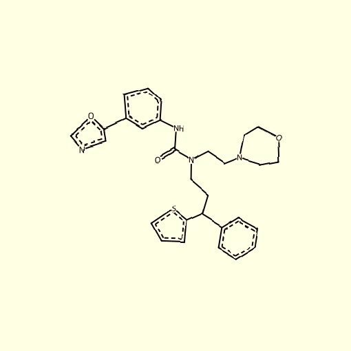 O=C(Nc1cccc(-c2cnco2)c1)N(CCC(c1ccccc1)c1cccs1)CCN1CCOCC1